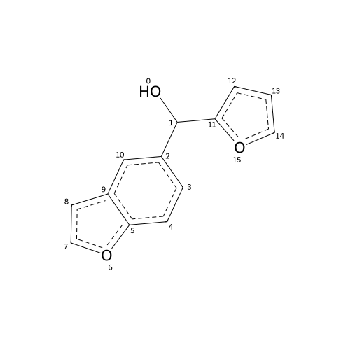 OC(c1ccc2occc2c1)c1ccco1